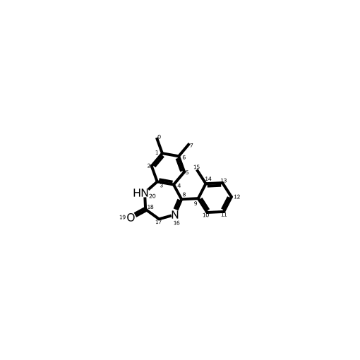 Cc1cc2c(cc1C)C(c1ccccc1C)=NCC(=O)N2